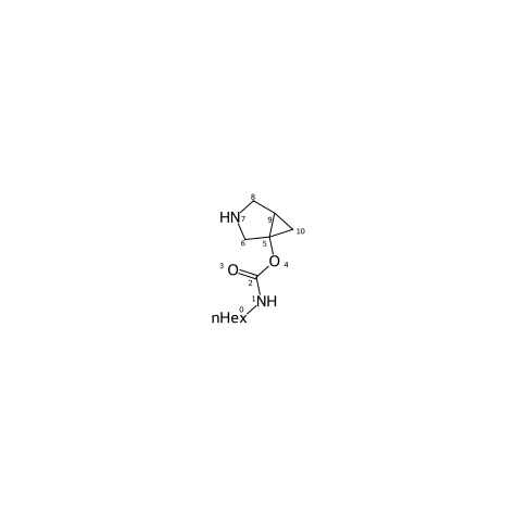 CCCCCCNC(=O)OC12CNCC1C2